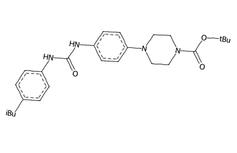 CCC(C)c1ccc(NC(=O)Nc2ccc(N3CCN(C(=O)OC(C)(C)C)CC3)cc2)cc1